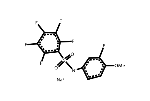 COc1ccc([N-]S(=O)(=O)c2c(F)c(F)c(F)c(F)c2F)cc1F.[Na+]